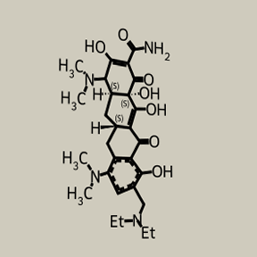 CCN(CC)Cc1cc(N(C)C)c2c(c1O)C(=O)C1=C(O)[C@]3(O)C(=O)C(C(N)=O)=C(O)C(N(C)C)[C@@H]3C[C@H]1C2